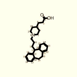 O=C(O)CCC1CCN(CCCC2c3ccccc3CCc3ccccc32)CC1